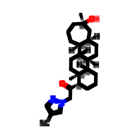 C[C@@]1(O)CCC[C@H]2[C@H](CC[C@@H]3[C@@H]2CC[C@]2(C)[C@@H](C(=O)Cn4cc(C#N)cn4)CCC[C@@H]32)C1